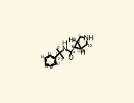 CC(C)(NC(=O)[C@H]1[C@@H]2CNC[C@@H]21)c1ccccc1